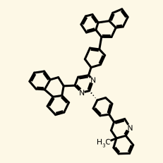 CC12C=CC=CC1=NC=C(C1=CC[C@@H](c3nc(C4C=CC(c5cc6ccccc6c6ccccc56)=CC4)cc(C4Cc5ccccc5-c5ccccc54)n3)C=C1)C2